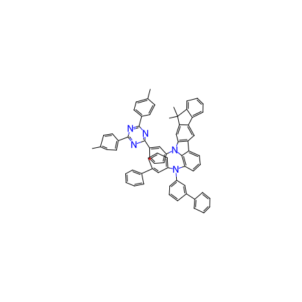 Cc1ccc(-c2nc(-c3ccc(C)cc3)nc(-c3cccc(-n4c5cc6c(cc5c5cccc(N(c7cccc(-c8ccccc8)c7)c7cccc(-c8ccccc8)c7)c54)-c4ccccc4C6(C)C)c3)n2)cc1